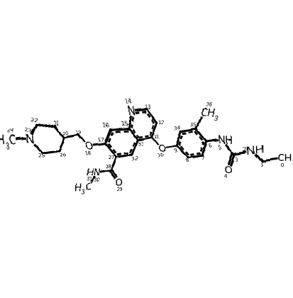 CCNC(=O)Nc1ccc(Oc2ccnc3cc(OCC4CCN(C)CC4)c(C(=O)NC)cc23)cc1C